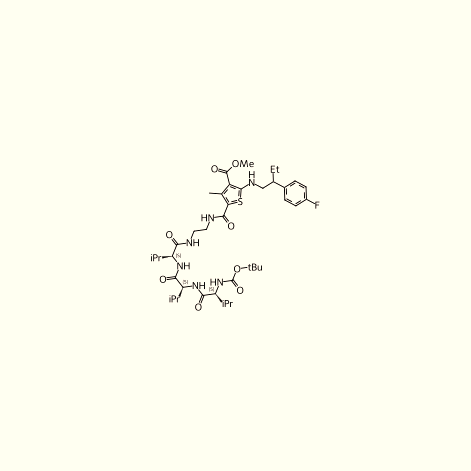 CCC(CNc1sc(C(=O)NCCNC(=O)[C@@H](NC(=O)[C@@H](NC(=O)[C@@H](NC(=O)OC(C)(C)C)C(C)C)C(C)C)C(C)C)c(C)c1C(=O)OC)c1ccc(F)cc1